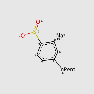 CCCCCc1ccc(S(=O)[O-])cc1.[Na+]